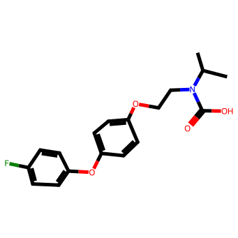 CC(C)N(CCOc1ccc(Oc2ccc(F)cc2)cc1)C(=O)O